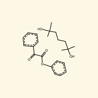 CC(C)(O)CCCC(C)(C)O.O=C(Oc1ccccc1)C(=O)c1ccccc1